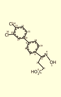 O=C(O)CCC(=NO)c1ccc(-c2ccc(Cl)c(Cl)c2)cc1